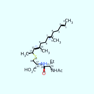 CC=CCC/C(C)=C/CC/C(C)=C/C(C)SC[C@H](NC(=O)[C@H](CC)NC(C)=O)C(=O)O